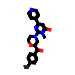 Cn1c(N2CCOC(C(=O)c3ccc(C(C)(C)C)cc3)C2)nc(-c2ccncc2)cc1=O